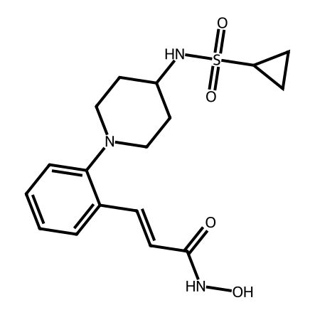 O=C(C=Cc1ccccc1N1CCC(NS(=O)(=O)C2CC2)CC1)NO